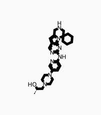 C[C@H](O)CN1CCN(c2ccc(Nc3ncc4cc5n(c4n3)C3(CCCCC3)CNC5)nc2)CC1